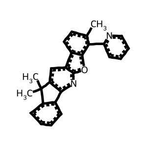 Cc1ccc2c(oc3nc4c(cc32)C(C)(C)c2ccccc2-4)c1-c1ccccn1